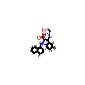 CCNCc1c(C(=O)O)n(Cc2cccc3ccccc23)c2ccc(F)cc12